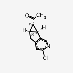 CC(=O)[C@H]1[C@@H]2Cc3cc(Cl)ncc3[C@@H]21